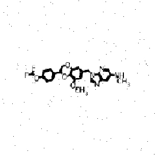 CNc1cnc2c(c1)ncn2Cc1cc(OC)c2c(c1)OCC(c1ccc(OC(F)F)cc1)O2